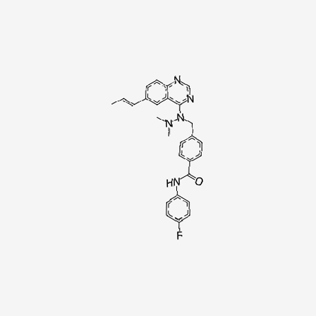 CC=Cc1ccc2ncnc(N(Cc3ccc(C(=O)Nc4ccc(F)cc4)cc3)N(C)C)c2c1